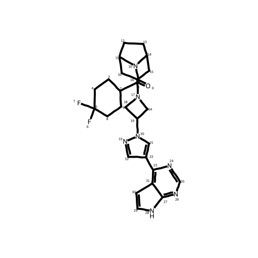 O=C(C1CCC(F)(F)CC1)N1C2CCC1CC(N1CC(n3cc(-c4ncnc5[nH]ccc45)cn3)C1)C2